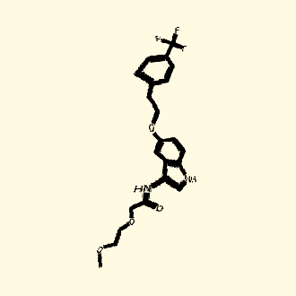 COCCOCC(=O)Nc1c[nH]c2ccc(OCCc3ccc(C(F)(F)F)cc3)cc12